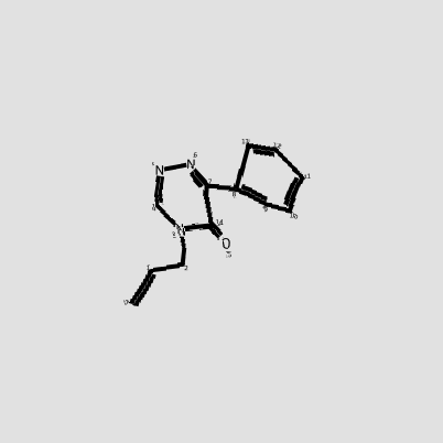 C=CCn1cnnc(-c2ccccc2)c1=O